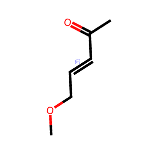 COC/C=C/C(C)=O